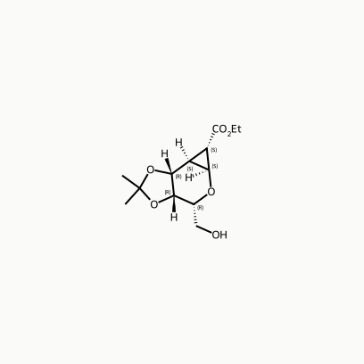 CCOC(=O)[C@@H]1[C@H]2O[C@H](CO)[C@@H]3OC(C)(C)O[C@@H]3[C@H]21